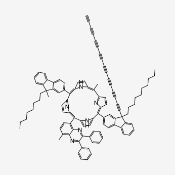 C#CC#CC#CC#CC#CC#CC#CC#CC1(CCCCCCCCCC)c2ccccc2-c2ccc(-c3c4nc(c(C)c5ccc([nH]5)c(-c5ccc6c(c5)C(C)(CCCCCCCC)c5ccccc5-6)c5nc(c(-c6ccc(C)c7nc(-c8ccccc8)c(-c8ccccc8)nc67)c6ccc3[nH]6)C=C5)C=C4)cc21